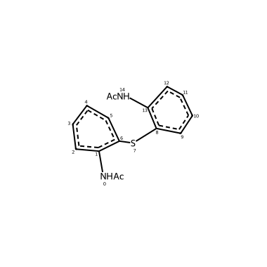 CC(=O)Nc1ccccc1Sc1ccccc1NC(C)=O